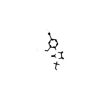 CCc1cc(C#N)ccc1N1C(=O)C(=O)N(C(C)(C)CC)C1=S